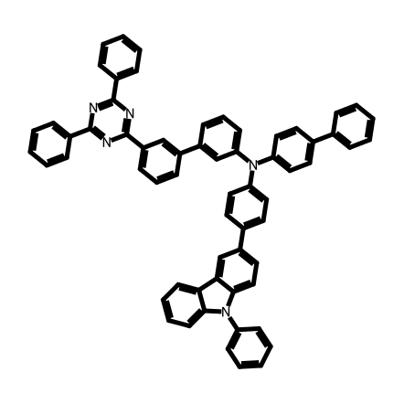 c1ccc(-c2ccc(N(c3ccc(-c4ccc5c(c4)c4ccccc4n5-c4ccccc4)cc3)c3cccc(-c4cccc(-c5nc(-c6ccccc6)nc(-c6ccccc6)n5)c4)c3)cc2)cc1